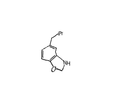 CC(C)Cc1ccc2c(c1)NCO2